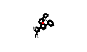 N#Cc1cncc(-c2ccc(-c3ccccc3-n3c4ccccc4c4ccccc43)cc2)c1